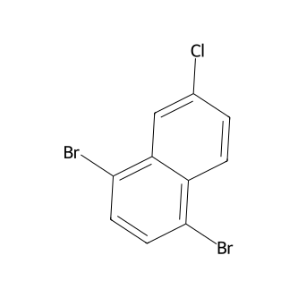 Clc1ccc2c(Br)ccc(Br)c2c1